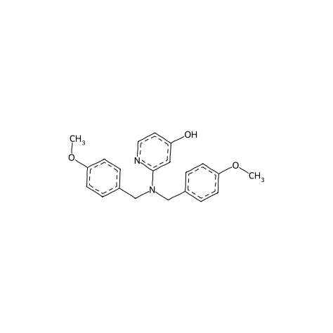 COc1ccc(CN(Cc2ccc(OC)cc2)c2cc(O)ccn2)cc1